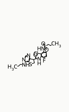 CCCNc1ncnc2c1SCC2C(=O)Nc1c(F)ccc(NS(=O)(=O)CCC)c1Cl